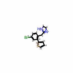 Brc1ccc(CC2=NCCN2)c(-c2cccs2)c1